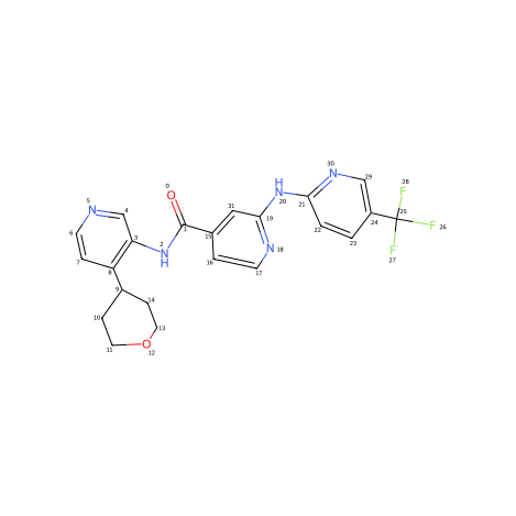 O=C(Nc1cnccc1C1CCOCC1)c1ccnc(Nc2ccc(C(F)(F)F)cn2)c1